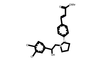 COC(=O)/C=C/c1ccc([C@@H]2CCCN2CC(O)c2ccc(Cl)c(Cl)c2)cc1